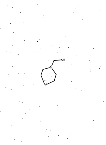 SCN1CCOCC1